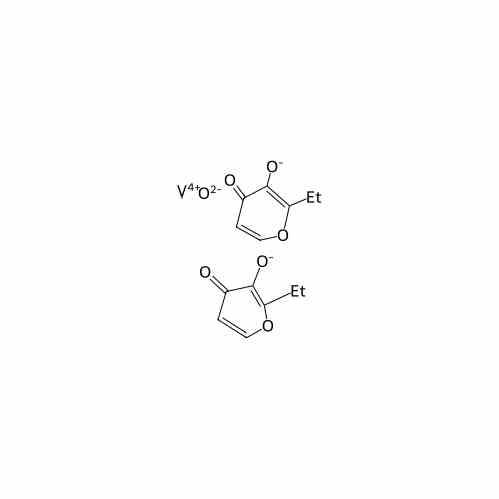 CCc1occc(=O)c1[O-].CCc1occc(=O)c1[O-].[O-2].[V+4]